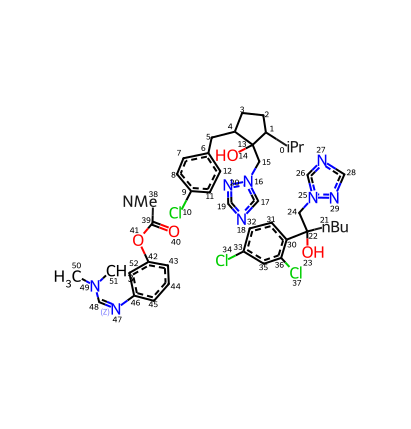 CC(C)C1CCC(Cc2ccc(Cl)cc2)C1(O)Cn1cncn1.CCCCC(O)(Cn1cncn1)c1ccc(Cl)cc1Cl.CNC(=O)Oc1cccc(/N=C\N(C)C)c1